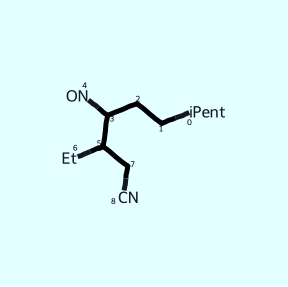 CCCC(C)CCC(N=O)C(CC)CC#N